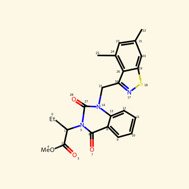 CCC(C(=O)OC)n1c(=O)c2ccccc2n(Cc2nsc3cc(C)cc(C)c23)c1=O